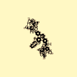 COC[C@H]1C[C@@H](C(=O)Nc2ccc([C@@H]3CC[C@@H](c4ccc(NC(=O)[C@@H]5C[C@H](COC)CN5C(=O)[C@@H](NC(=O)OC)[C@@H](C)OC)cc4)N3c3cc(F)c(N4CC[Si]5(CCCC5)CC4)c(F)c3)cc2)N(C(=O)[C@@H](NC(=O)OC)[C@@H](C)OC)C1